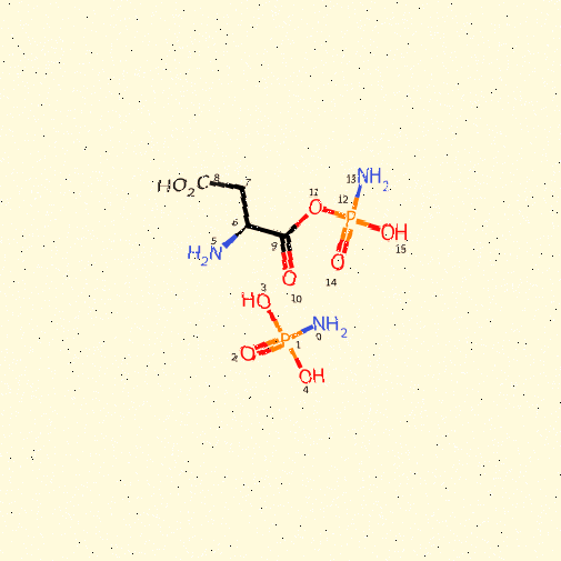 NP(=O)(O)O.N[C@@H](CC(=O)O)C(=O)OP(N)(=O)O